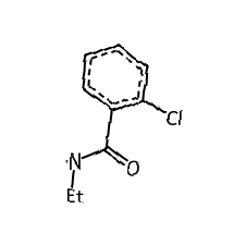 CC[N]C(=O)c1ccccc1Cl